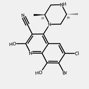 C[C@@H]1CN(c2c(C#N)c(O)nc3c(O)c(Br)c(Cl)cc23)[C@@H](C)CN1